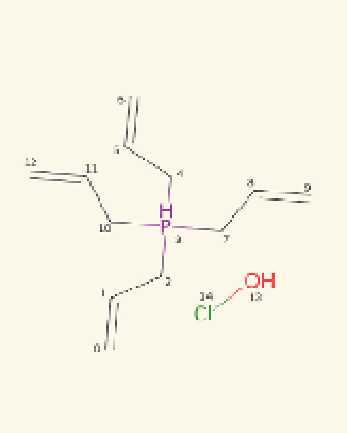 C=CC[PH](CC=C)(CC=C)CC=C.OCl